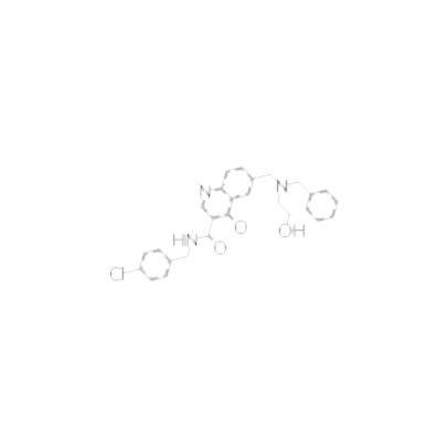 Cn1cc(C(=O)NCc2ccc(Cl)cc2)c(=O)c2cc(CN(CCO)Cc3ccccc3)ccc21